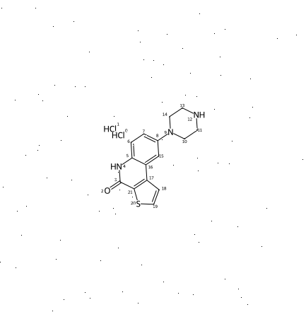 Cl.Cl.O=c1[nH]c2ccc(N3CCNCC3)cc2c2ccsc12